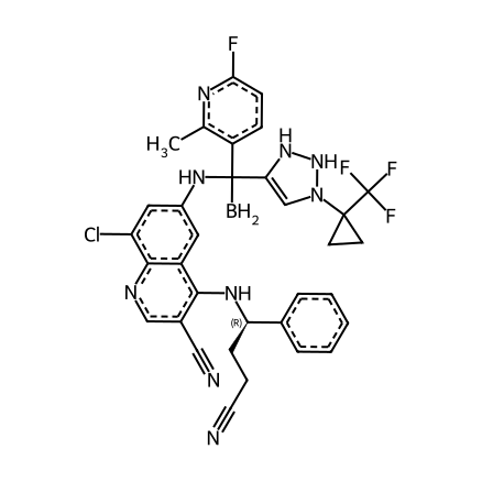 BC(Nc1cc(Cl)c2ncc(C#N)c(N[C@H](CCC#N)c3ccccc3)c2c1)(C1=CN(C2(C(F)(F)F)CC2)NN1)c1ccc(F)nc1C